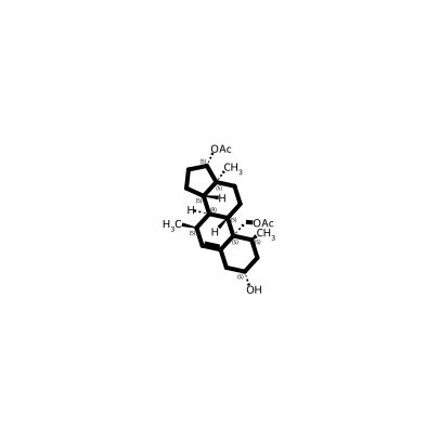 CC(=O)OC[C@]12C(=C[C@@H](C)[C@H]3[C@@H]4CC[C@H](OC(C)=O)[C@@]4(C)CC[C@@H]31)C[C@@H](O)C[C@@H]2C